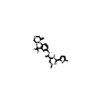 COCC(NC(=O)c1ccc(Cl)s1)C(=O)Nc1ccc(N2CCOCC2=O)c(C(F)(F)F)c1